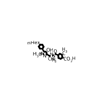 CCCCCCc1ccc(-c2c(O)c(C(C)=NNC(=O)c3ccc(C(=O)O)c(C)c3)nn2C)cc1